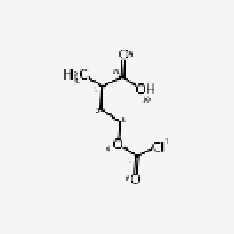 CC(CCOC(=O)Cl)C(=O)O